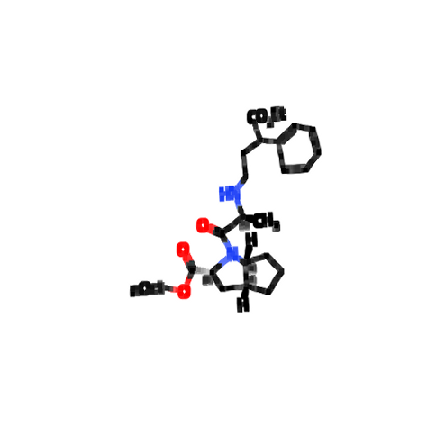 CCCCCCCCOC(=O)[C@H]1C[C@H]2CCC[C@H]2N1C(=O)[C@H](C)NCCC(C(=O)OCC)c1ccccc1